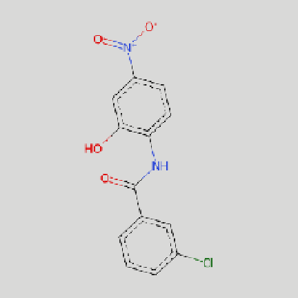 O=C(Nc1ccc([N+](=O)[O-])cc1O)c1cccc(Cl)c1